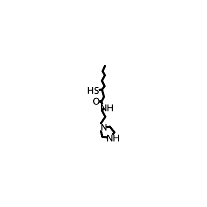 CCCCCC(S)CC(=O)NCCCN1CCNCC1